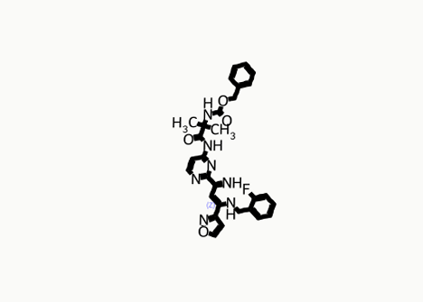 CC(C)(NC(=O)OCc1ccccc1)C(=O)Nc1ccnc(C(=N)/C=C(\NCc2ccccc2F)c2ccon2)n1